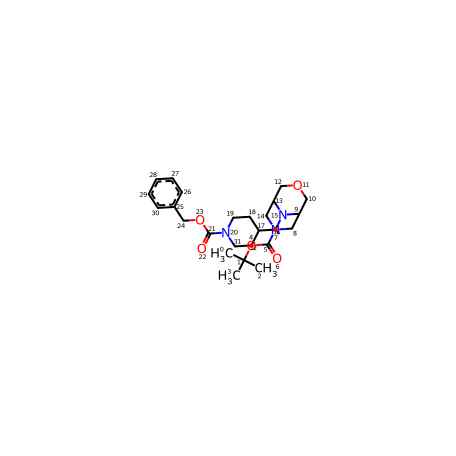 CC(C)(C)OC(=O)N1CC2COCC(C1)N2CC1CCN(C(=O)OCc2ccccc2)CC1